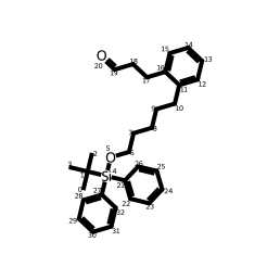 CC(C)(C)[Si](OCCCCCc1ccccc1CCC=O)(c1ccccc1)c1ccccc1